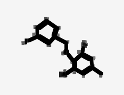 Cc1cc(S)c(OCc2cccc(F)c2)c(Br)c1